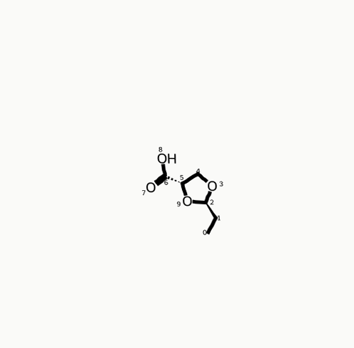 CC[C@@H]1OC[C@@H](C(=O)O)O1